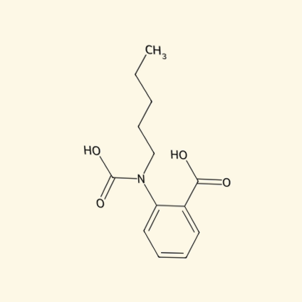 CCCCCN(C(=O)O)c1ccccc1C(=O)O